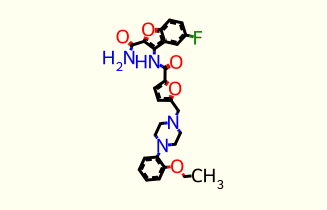 CCOc1ccccc1N1CCN(Cc2ccc(C(=O)Nc3c(C(N)=O)oc4ccc(F)cc34)o2)CC1